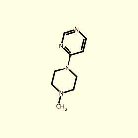 [CH2]N1CCN(c2ccncn2)CC1